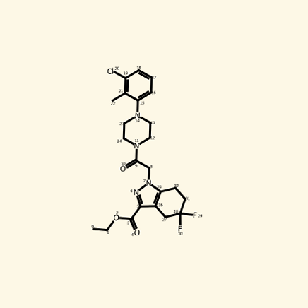 CCOC(=O)c1nn(CC(=O)N2CCN(c3cccc(Cl)c3C)CC2)c2c1CC(F)(F)CC2